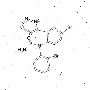 NC(=O)N(c1ccccc1Br)c1ccc(Br)cc1-c1nnn[nH]1